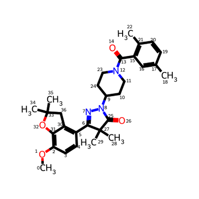 COc1ccc(C2=NN(C3CCN(C(=O)c4cc(C)ccc4C)CC3)C(=O)C2(C)C)c2c1OC(C)(C)C2